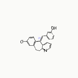 Oc1cccc(/C=C2/c3ccc(Cl)cc3CCc3ncccc32)c1